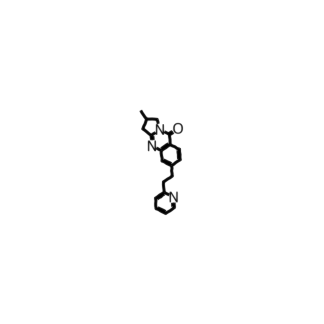 CC1Cc2nc3cc(CCc4ccccn4)ccc3c(=O)n2C1